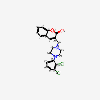 O=c1oc2ccccc2cc1CN1CCN(c2cccc(Cl)c2Cl)CC1